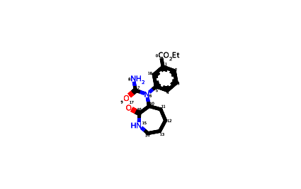 CCOC(=O)c1cccc(N(C(N)=O)C2CCCCNC2=O)c1